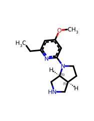 CCc1cc(OC)cc(N2CC[C@H]3CNC[C@H]32)n1